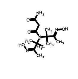 CC(=NO)C(C)(C)N(C(=O)CC(N)=O)C(C)(C)C(C)=NO